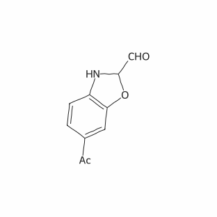 CC(=O)c1ccc2c(c1)OC(C=O)N2